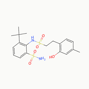 Cc1ccc(CCS(=O)(=O)Nc2c(C(C)(C)C)cccc2S(N)(=O)=O)c(O)c1